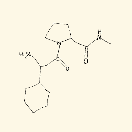 CNC(=O)C1CCCN1C(=O)C(N)C1CCCCC1